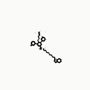 O=C(O)CCCCc1c(-c2cccc(Cl)c2)cc(C(=O)NCCCCCCCCn2ccc3ccccc32)cc1-c1cccc(Cl)c1